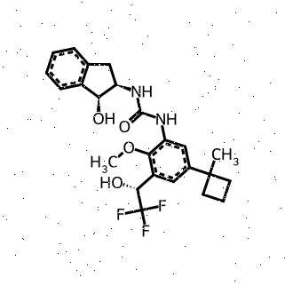 COc1c(NC(=O)N[C@@H]2Cc3ccccc3[C@@H]2O)cc(C2(C)CCC2)cc1[C@@H](O)C(F)(F)F